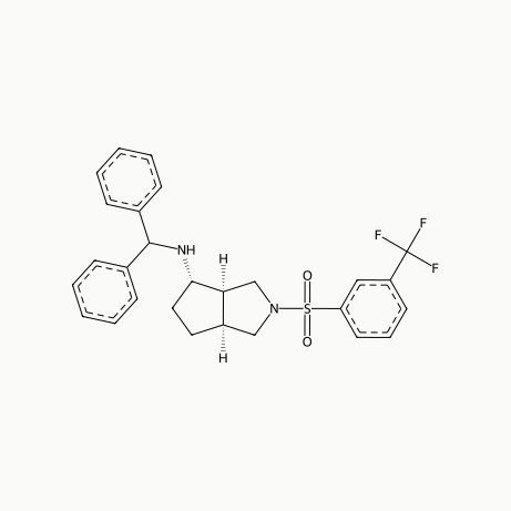 O=S(=O)(c1cccc(C(F)(F)F)c1)N1C[C@H]2CC[C@H](NC(c3ccccc3)c3ccccc3)[C@H]2C1